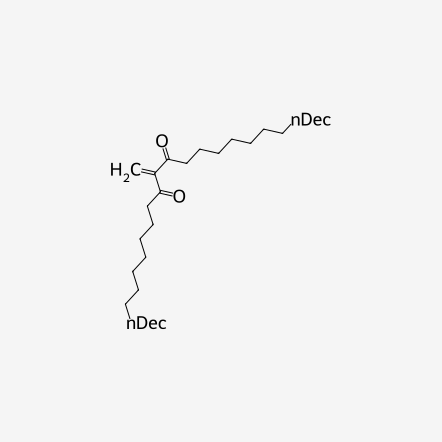 C=C(C(=O)CCCCCCCCCCCCCCCCC)C(=O)CCCCCCCCCCCCCCCCC